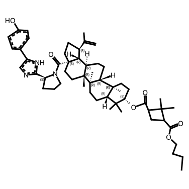 C=C(C)[C@@H]1CC[C@]2(C(=O)N3CCC[C@H]3c3ncc(-c4ccc(O)cc4)[nH]3)CC[C@]3(C)[C@H](CC[C@@H]4[C@@]5(C)CC[C@H](OC(=O)C6CC(C(=O)OCCCC)C6(C)C)C(C)(C)[C@@H]5CC[C@]43C)[C@@H]12